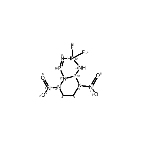 O=[N+]([O-])N1CCN([N+](=O)[O-])P2N[PH](F)(F)N=PN12